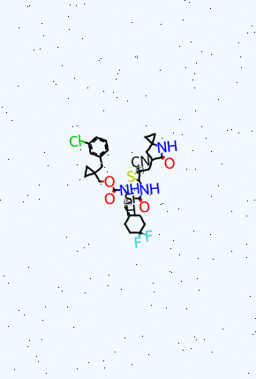 N#C[C@]1(CC2CC3(CC3)NC2=O)SC1NC(=O)[Si@H](CC1CCC(F)(F)CC1)NC(=O)OCC1(Cc2cccc(Cl)c2)CC1